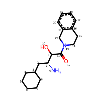 N[C@H](CC1CCCCC1)C(O)C(=O)N1CCc2ccccc2C1